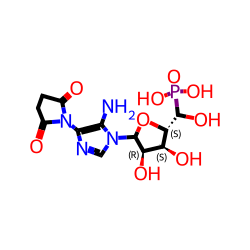 Nc1c(N2C(=O)CCC2=O)ncn1C1O[C@H](C(O)P(=O)(O)O)[C@@H](O)[C@H]1O